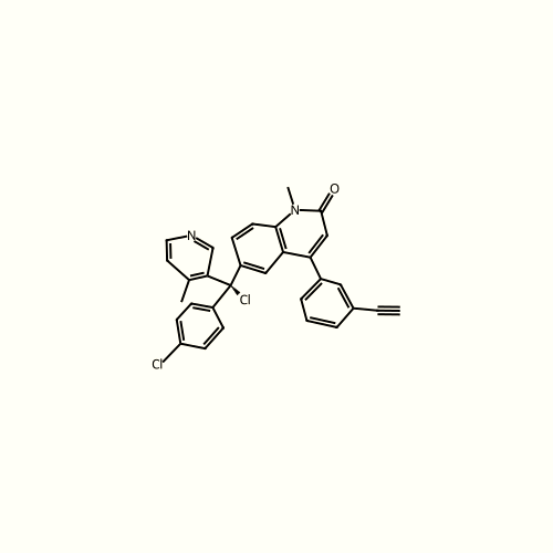 C#Cc1cccc(-c2cc(=O)n(C)c3ccc([C@](Cl)(c4ccc(Cl)cc4)c4cnccc4C)cc23)c1